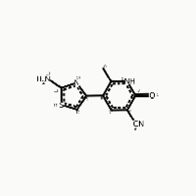 Cc1[nH]c(=O)c(C#N)cc1-c1csc(N)n1